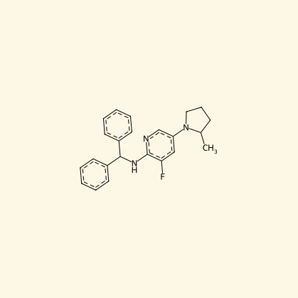 CC1CCCN1c1cnc(NC(c2ccccc2)c2ccccc2)c(F)c1